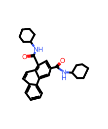 O=C(NC1CCCCC1)c1cc(C(=O)NC2CCCCC2)c2ccc3ccccc3c2c1